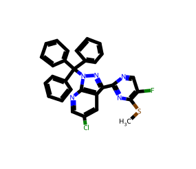 CSc1nc(-c2nn(C(c3ccccc3)(c3ccccc3)c3ccccc3)c3ncc(Cl)cc23)ncc1F